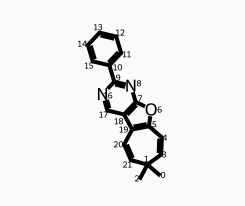 CC1(C)C=Cc2oc3nc(-c4ccccc4)ncc3c2C=C1